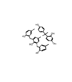 CC(C)(c1ccc(O)cc1)c1ccc(O)cc1O.Cc1ccc(O)c(Cc2cc(C)cc(Cc3cc(C)ccc3O)c2O)c1